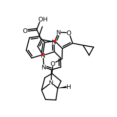 Cc1ccccc1-c1noc(C2CC2)c1COC1CC2CC[C@@H](C1)N2c1ccc2nc(C(=O)O)cn2n1